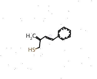 C=C(/C=C/c1ccccc1)CS